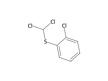 Clc1ccccc1SC(Cl)Cl